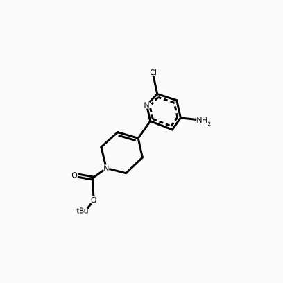 CC(C)(C)OC(=O)N1CC=C(c2cc(N)cc(Cl)n2)CC1